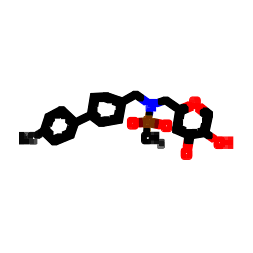 CS(=O)(=O)N(Cc1ccc(-c2ccc(C#N)cc2)cc1)Cc1cc(=O)c(O)co1